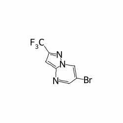 FC(F)(F)c1cc2ncc(Br)cn2n1